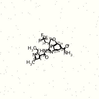 CCn1nc(C)cc1C(=O)Nc1nc2cc(C(N)=O)cc3c2n1[C@@H](CC(F)(F)F)CO3